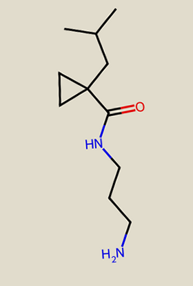 CC(C)CC1(C(=O)NCCCN)CC1